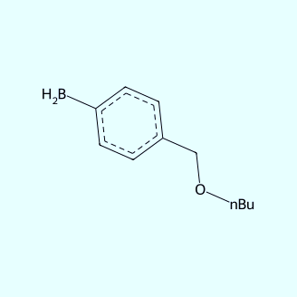 Bc1ccc(COCCCC)cc1